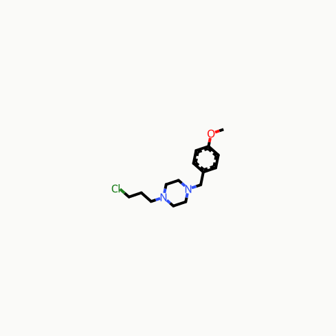 COc1ccc(CN2CCN(CCCCl)CC2)cc1